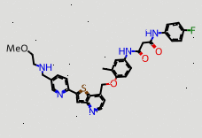 COCCNCc1ccc(-c2cc3nccc(COc4ccc(NC(=O)CC(=O)Nc5ccc(F)cc5)cc4C)c3s2)nc1